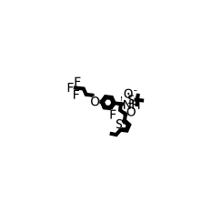 CCc1ccc(C(=O)C[C@](C)(N[S@@+]([O-])C(C)(C)C)c2ccc(OCCCC(F)(F)F)cc2F)s1